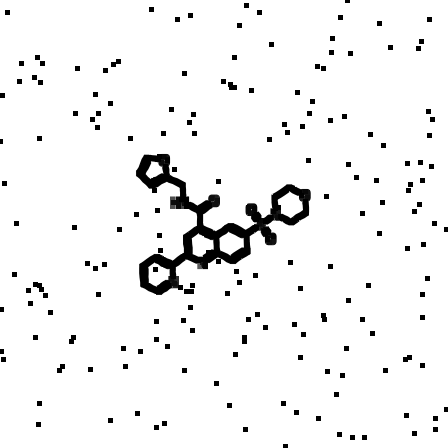 O=C(NCc1ccco1)c1cc(-c2ccccn2)nc2ccc(S(=O)(=O)N3CCOCC3)cc12